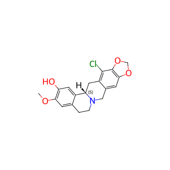 COc1cc2c(cc1O)[C@@H]1Cc3c(cc4c(c3Cl)OCO4)CN1CC2